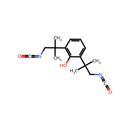 CC(C)(CN=C=O)c1cccc(C(C)(C)CN=C=O)c1O